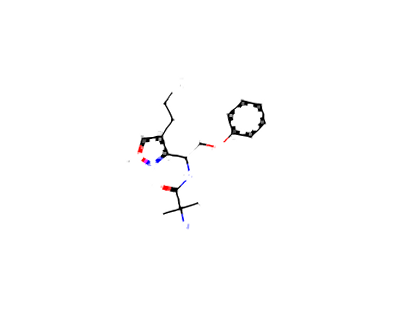 CC(C)(N)C(=O)N[C@H](COc1ccccc1)c1nocc1CCC#N